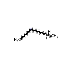 CCCCCCCC/C=C\CCCCCCCCNNCC